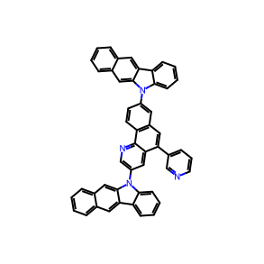 c1cncc(-c2cc3cc(-n4c5ccccc5c5cc6ccccc6cc54)ccc3c3ncc(-n4c5ccccc5c5cc6ccccc6cc54)cc23)c1